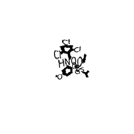 CCOP(=O)(Oc1ccc(OC)cc1NC(=O)c1c(Cl)cc(Cl)cc1Cl)SCC(C)C